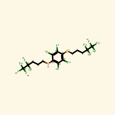 Fc1c(F)c(SCCCC(F)(F)C(F)(F)F)c(F)c(F)c1SCCCC(F)(F)C(F)(F)F